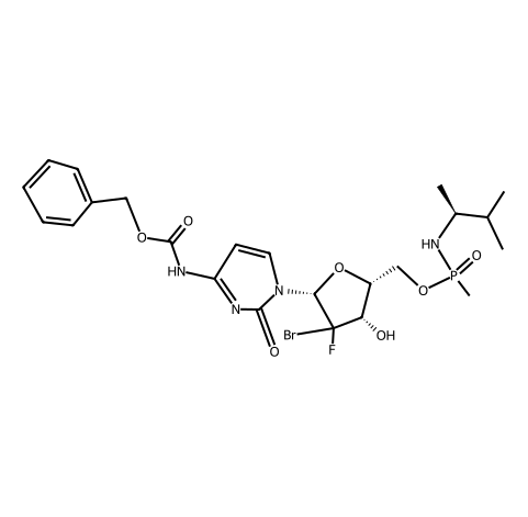 CC(C)[C@H](C)NP(C)(=O)OC[C@H]1O[C@@H](n2ccc(NC(=O)OCc3ccccc3)nc2=O)C(F)(Br)[C@H]1O